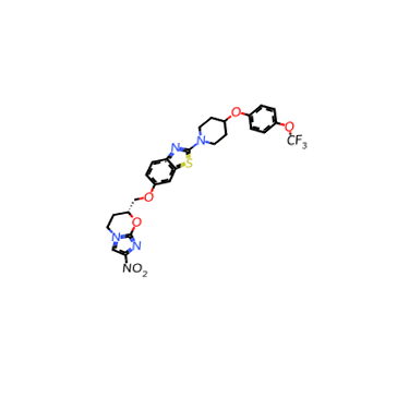 O=[N+]([O-])c1cn2c(n1)O[C@@H](COc1ccc3nc(N4CCC(Oc5ccc(OC(F)(F)F)cc5)CC4)sc3c1)CC2